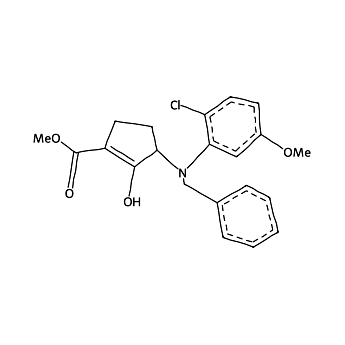 COC(=O)C1=C(O)C(N(Cc2ccccc2)c2cc(OC)ccc2Cl)CC1